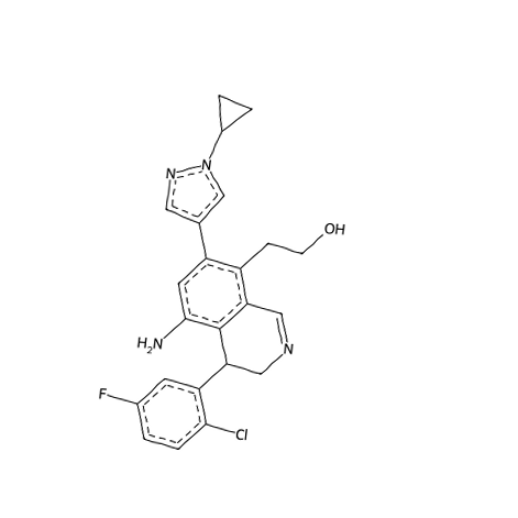 Nc1cc(-c2cnn(C3CC3)c2)c(CCO)c2c1C(c1cc(F)ccc1Cl)CN=C2